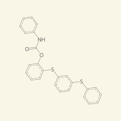 O=C(Nc1ccccc1)Oc1ccccc1Sc1cccc(Sc2ccccc2)c1